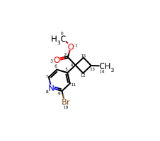 COC(=O)C1(c2ccnc(Br)c2)CC(C)C1